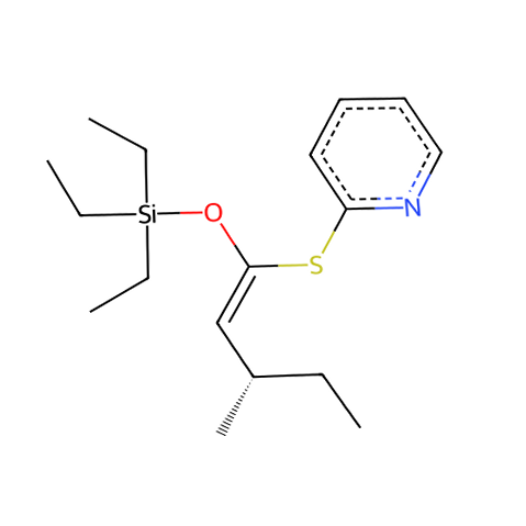 CC[C@H](C)C=C(O[Si](CC)(CC)CC)Sc1ccccn1